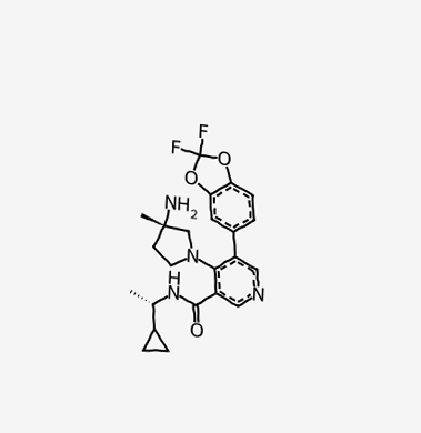 C[C@H](NC(=O)c1cncc(-c2ccc3c(c2)OC(F)(F)O3)c1N1CC[C@](C)(N)C1)C1CC1